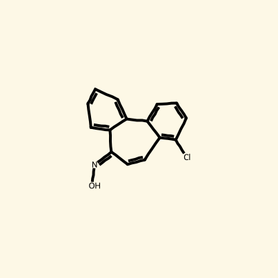 ON=c1ccc2c(Cl)cccc2c2ccccc12